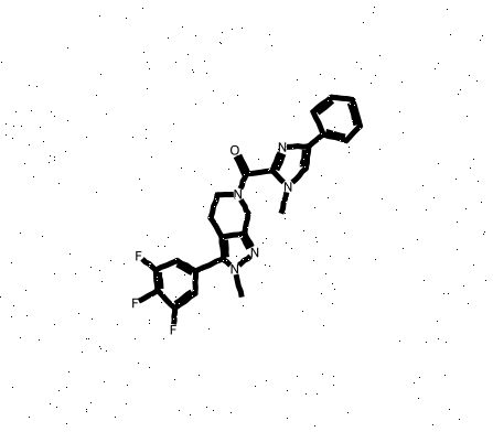 Cn1cc(-c2ccccc2)nc1C(=O)N1CCc2c(nn(C)c2-c2cc(F)c(F)c(F)c2)C1